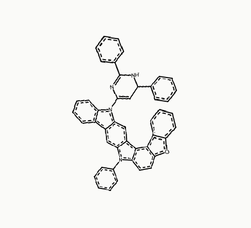 C1=C(n2c3ccccc3c3cc4c(cc32)c2c3c(ccc2n4-c2ccccc2)oc2ccccc23)N=C(c2ccccc2)NC1c1ccccc1